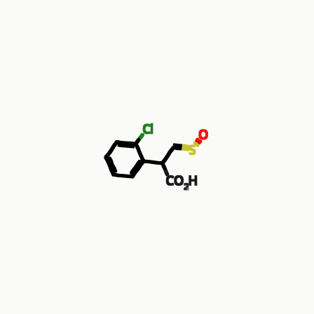 O=S=CC(C(=O)O)c1ccccc1Cl